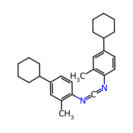 Cc1cc(C2CCCCC2)ccc1N=C=Nc1ccc(C2CCCCC2)cc1C